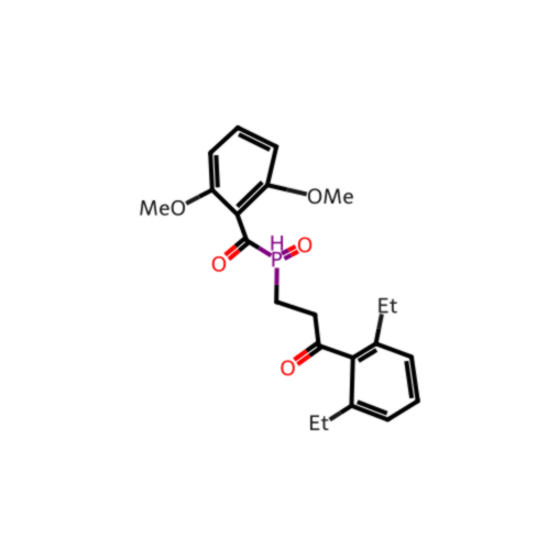 CCc1cccc(CC)c1C(=O)CC[PH](=O)C(=O)c1c(OC)cccc1OC